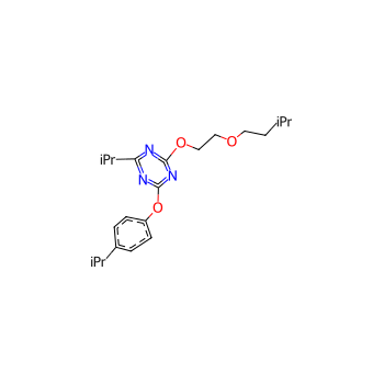 CC(C)CCOCCOc1nc(Oc2ccc(C(C)C)cc2)nc(C(C)C)n1